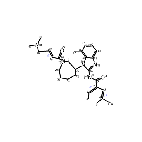 C/C=C(\C=C(/C)F)C(=O)Nc1nc2cccc(C)c2n1C1CCCCN(C(=O)/C=C/CN(C)C)C1